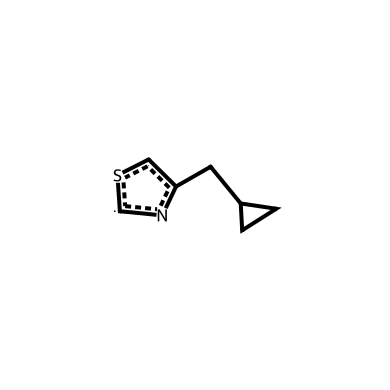 [c]1nc(CC2CC2)cs1